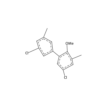 COc1c(C)cc(Cl)cc1-c1cc(C)cc(Cl)c1